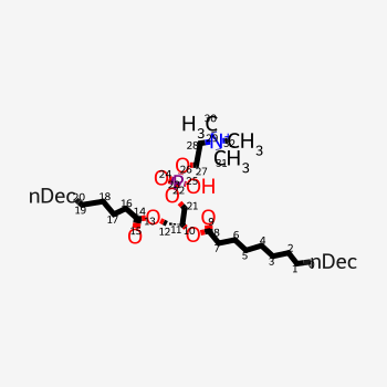 CCCCCCCCCCCCCCCCCC(=O)O[C@H](COC(=O)CCCCCCCCCCCCCC)COP(=O)(O)OCC[N+](C)(C)C